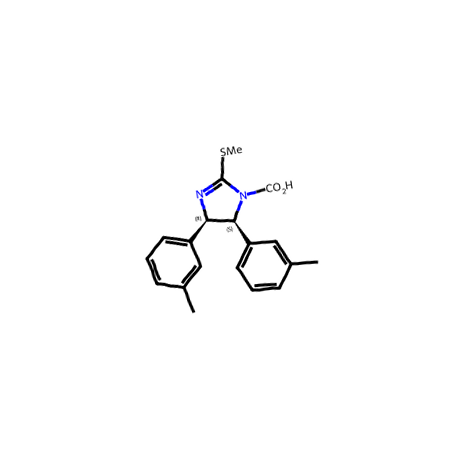 CSC1=N[C@H](c2cccc(C)c2)[C@H](c2cccc(C)c2)N1C(=O)O